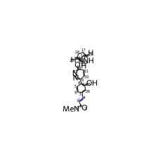 CNC(=O)/C=C/c1ccc(-c2ccc(O[C@H]3C[C@@H]4CC[C@H]3CN4)nn2)c(O)c1